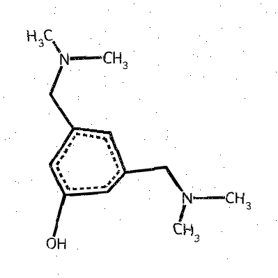 CN(C)Cc1cc(O)cc(CN(C)C)c1